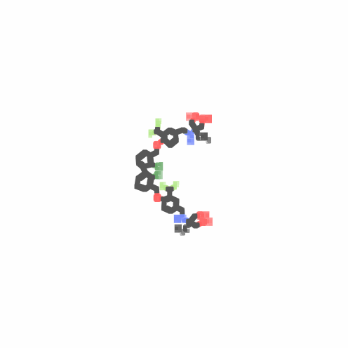 CC(CO)(CO)NCc1ccc(OCc2cccc(-c3cccc(COc4ccc(CNC(C)(CO)CO)cc4C(F)F)c3Cl)c2Cl)c(C(F)F)c1